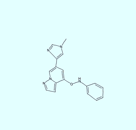 Cn1cnc(-c2cc(ONc3ccccc3)c3ccnn3c2)c1